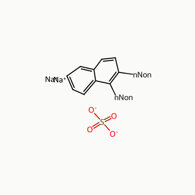 CCCCCCCCCc1ccc2ccccc2c1CCCCCCCCC.O=S(=O)([O-])[O-].[Na+].[Na+]